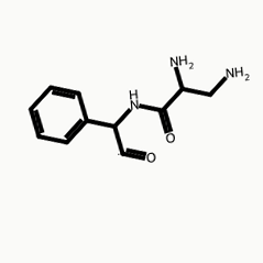 NCC(N)C(=O)NC([C]=O)c1ccccc1